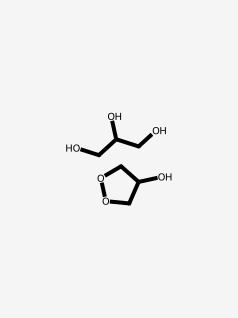 OC1COOC1.OCC(O)CO